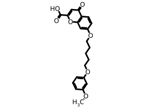 COc1cccc(OCCCCCOc2ccc3c(=O)cc(C(=O)O)oc3c2)c1